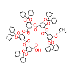 C=CCOc1cc(C(=O)Oc2cc(C(=O)Oc3cc(C(=O)Oc4cc(C(=O)Oc5cc(C(=O)O)cc6c5OC(c5ccccc5)(c5ccccc5)O6)cc5c4OC(c4ccccc4)(c4ccccc4)O5)cc4c3OC(c3ccccc3)(c3ccccc3)O4)cc3c2OC(c2ccccc2)(c2ccccc2)O3)cc2c1OC(c1ccccc1)(c1ccccc1)O2